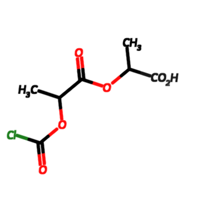 CC(OC(=O)C(C)OC(=O)Cl)C(=O)O